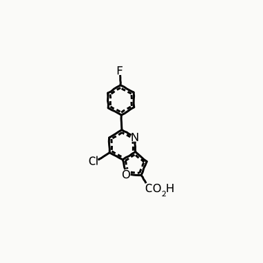 O=C(O)c1cc2nc(-c3ccc(F)cc3)cc(Cl)c2o1